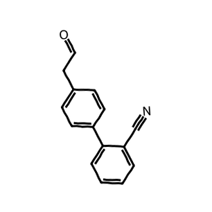 N#Cc1ccccc1-c1ccc(CC=O)cc1